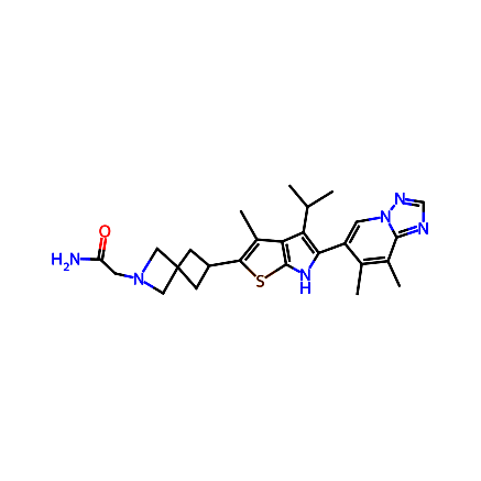 Cc1c(-c2[nH]c3sc(C4CC5(C4)CN(CC(N)=O)C5)c(C)c3c2C(C)C)cn2ncnc2c1C